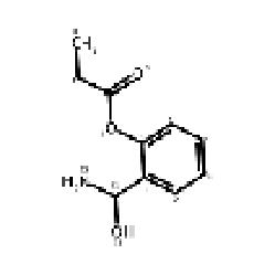 CCC(=O)Oc1ccccc1C(N)O